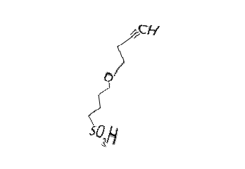 C#CCCOCCCCS(=O)(=O)O